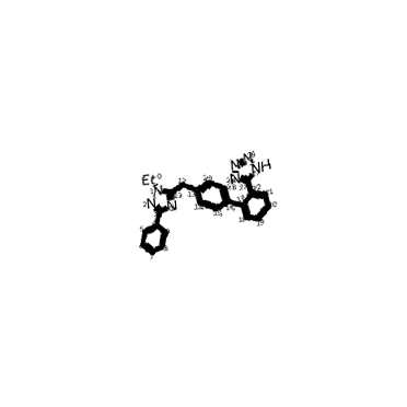 CCn1nc(-c2ccccc2)nc1Cc1ccc(-c2ccccc2-c2nnn[nH]2)cc1